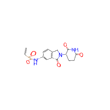 C=CS(=O)(=O)Nc1ccc2c(c1)C(=O)N(C1CCC(=O)NC1=O)C2